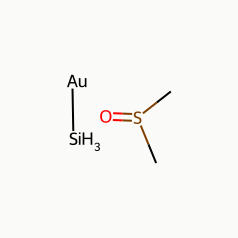 CS(C)=O.[SiH3][Au]